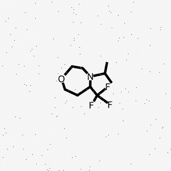 CC(C)N1CCOCCC1C(F)(F)F